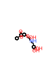 O=c1cc(-c2ccccc2)oc2cc(OCC(O)CNCCc3ccc(O)c(O)c3)ccc12